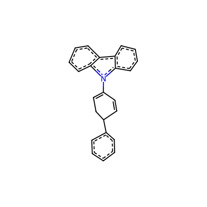 C1=CC(c2ccccc2)CC=C1n1c2ccccc2c2ccccc21